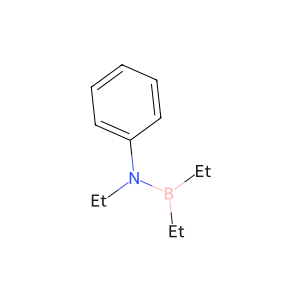 CCB(CC)N(CC)c1ccccc1